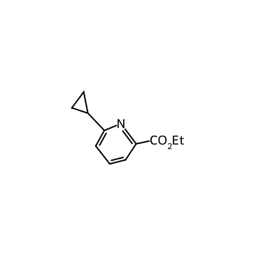 CCOC(=O)c1cccc(C2CC2)n1